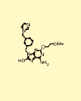 COCCOc1nc(N)c2nc(O)n(Cc3cccc(Cn4ccnc4)c3)c2n1